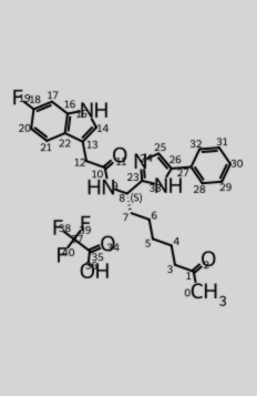 CC(=O)CCCCC[C@H](NC(=O)Cc1c[nH]c2cc(F)ccc12)c1ncc(-c2ccccc2)[nH]1.O=C(O)C(F)(F)F